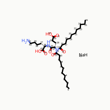 CCCCCCCCCCCC(=O)N(C(=O)CCCCCCCCCCC)[C@@H](CCC(=O)O)C(=O)N[C@@H](CCCCN)C(=O)O.[NaH]